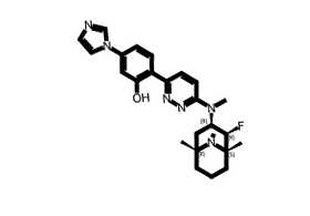 CN(c1ccc(-c2ccc(-n3ccnc3)cc2O)nn1)[C@@H]1C[C@@]2(C)CCC[C@@](C)([C@@H]1F)N2C